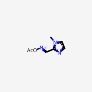 CC(=O)O/N=C/c1nccn1C